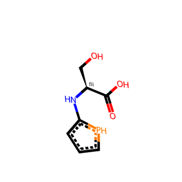 O=C(O)[C@H](CO)Nc1ccc[pH]1